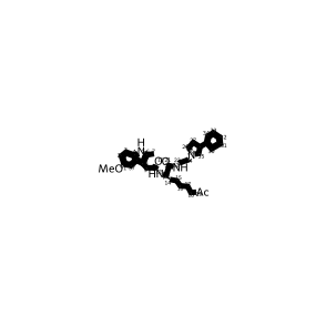 COc1ccc2[nH]c(C)c(CC(=O)N[C@@H](CCCCCC(C)=O)C(=O)NCCN3CCC(c4ccccc4)C3)c2c1